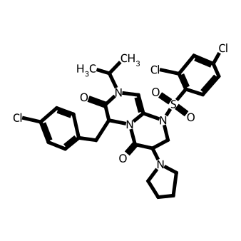 CC(C)N1C=C2N(C(=O)C(N3CCCC3)CN2S(=O)(=O)c2ccc(Cl)cc2Cl)C(Cc2ccc(Cl)cc2)C1=O